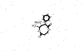 CO[C@H]1[C@H](C)OC(=O)CCOC(=O)[C@@H]1c1ccccc1